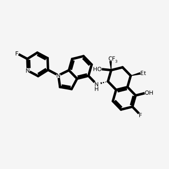 CC[C@@H]1C[C@](O)(C(F)(F)F)[C@@H](Nc2cccc3c2ccn3-c2ccc(F)nc2)c2ccc(F)c(O)c21